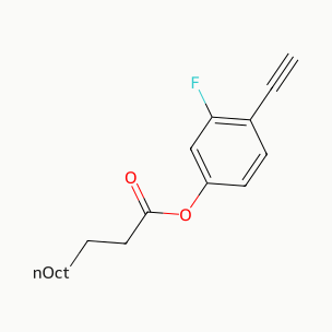 C#Cc1ccc(OC(=O)CCCCCCCCCC)cc1F